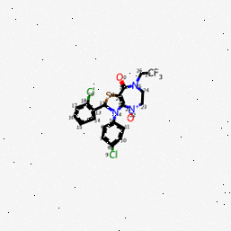 O=C1C2=C(N(c3ccc(Cl)cc3)C(c3ccccc3Cl)S2)[N+](=O)CCN1CC(F)(F)F